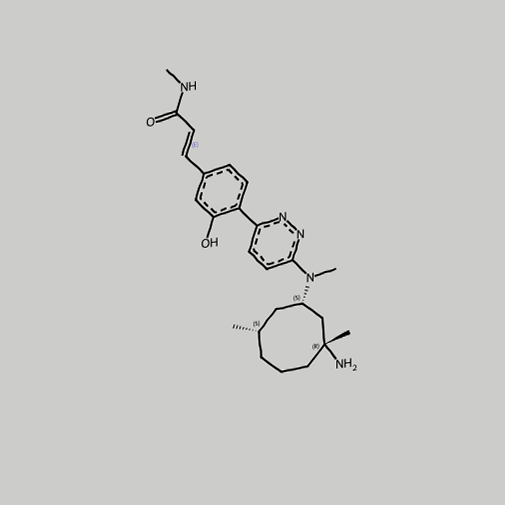 CNC(=O)/C=C/c1ccc(-c2ccc(N(C)[C@H]3C[C@@H](C)CCC[C@@](C)(N)C3)nn2)c(O)c1